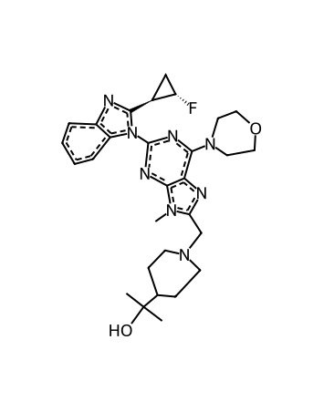 Cn1c(CN2CCC(C(C)(C)O)CC2)nc2c(N3CCOCC3)nc(-n3c([C@H]4C[C@@H]4F)nc4ccccc43)nc21